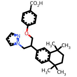 CC1(C)CCC(C)(C)c2cc(C(COc3ccc(C(=O)O)cc3)Cn3cccn3)ccc21